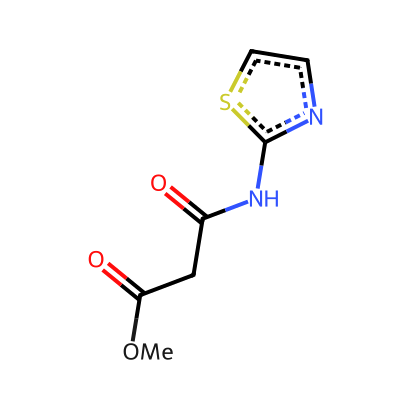 COC(=O)CC(=O)Nc1nccs1